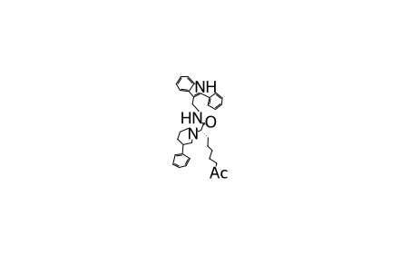 CC(=O)CCCCC[C@@H](C(=O)NCCc1c(-c2ccccc2)[nH]c2ccccc12)N1CCCC(c2ccccc2)C1